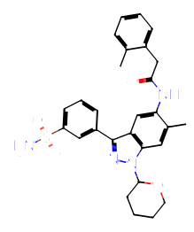 Cc1ccccc1CC(=O)Nc1cc2c(-c3cccc(S(N)(=O)=O)c3)nn(C3CCCCO3)c2cc1C